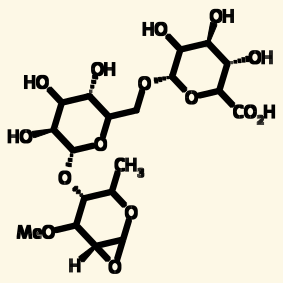 COC1[C@H](O[C@H]2OC(CO[C@H]3OC(C(=O)O)[C@@H](O)[C@H](O)C3O)[C@@H](O)C(O)[C@@H]2O)C(C)OC2O[C@@H]21